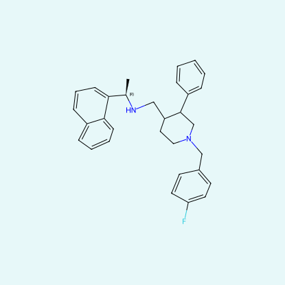 C[C@@H](NCC1CCN(Cc2ccc(F)cc2)CC1c1ccccc1)c1cccc2ccccc12